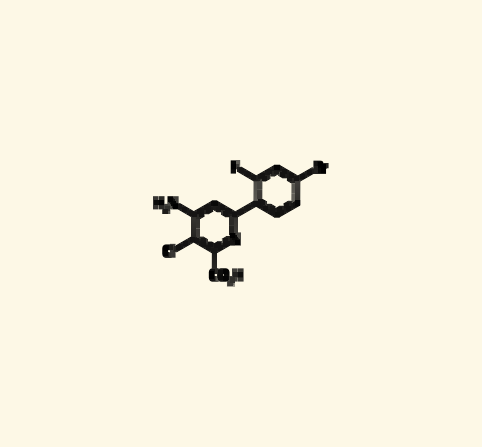 Nc1cc(-c2ccc(Br)cc2F)nc(C(=O)O)c1Cl